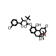 CC(C(=O)c1cccc(Cl)c1)N(C(=O)Oc1ccc2c(c1O)[C@]13CCN(C)[C@H](C2)[C@]1(O)CCC(=O)C3)C(C)(C)C